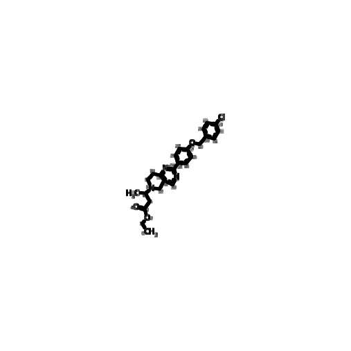 CCOC(=O)CC(C)N1CCc2nc(-c3ccc(OCc4ccc(Cl)cc4)cc3)ncc2C1